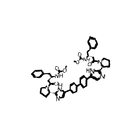 COC(=O)N[C@@H](CC(=O)N1CCC[C@H]1c1ncc(-c2ccc(-c3ccc(-c4cnc([C@@H]5CCCN5C(=O)C[C@@H](Cc5ccccc5)NC(=O)OC)[nH]4)cc3)cc2)[nH]1)Cc1ccccc1